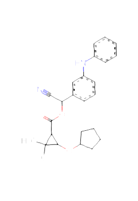 CC1(C)C(OC2CCCC2)C1C(=O)OC(C#N)c1cccc(Nc2ccccc2)c1